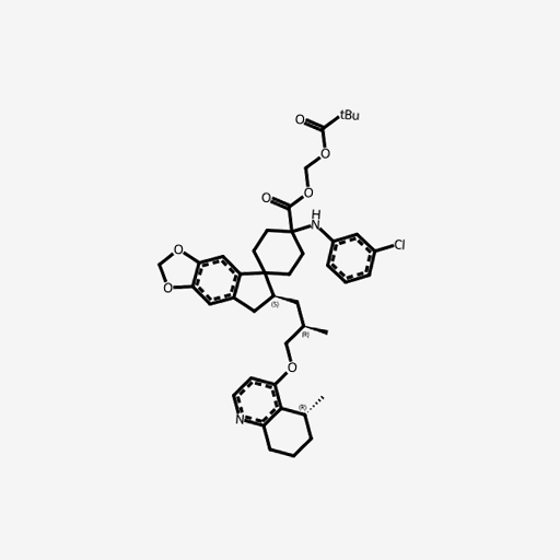 C[C@@H](COc1ccnc2c1[C@H](C)CCC2)C[C@H]1Cc2cc3c(cc2C12CCC(Nc1cccc(Cl)c1)(C(=O)OCOC(=O)C(C)(C)C)CC2)OCO3